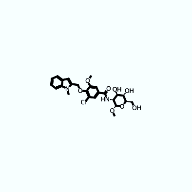 COc1cc(C(=O)N[C@H]2[C@@H](OC)O[C@H](CO)[C@@H](O)[C@@H]2O)cc(Cl)c1OCc1cc2ccccc2n1C